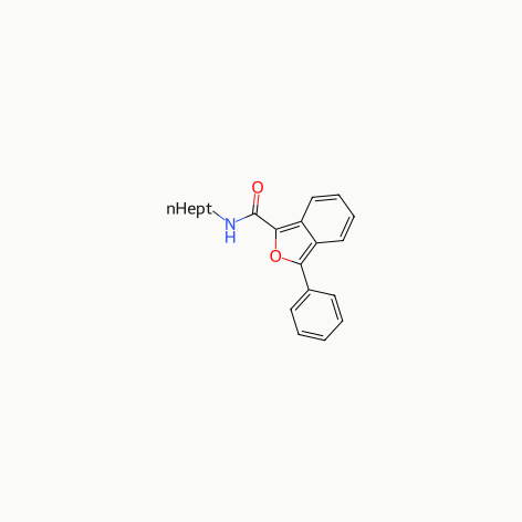 CCCCCCCNC(=O)c1oc(-c2ccccc2)c2ccccc12